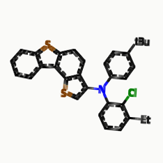 CCc1cccc(N(c2ccc(C(C)(C)C)cc2)c2csc3c2ccc2sc4ccccc4c23)c1Cl